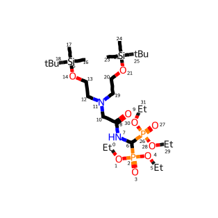 CCOP(=O)(OCC)C(NC(=O)CN(CCO[Si](C)(C)C(C)(C)C)CCO[Si](C)(C)C(C)(C)C)P(=O)(OCC)OCC